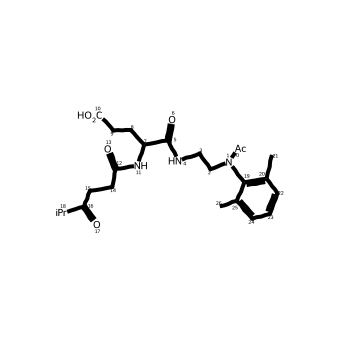 CC(=O)N(CCNC(=O)C(CCC(=O)O)NC(=O)CCC(=O)C(C)C)c1c(C)cccc1C